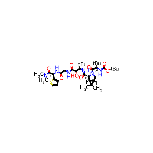 CCCCC(NC(=O)[C@@H]1[C@@H]2[C@H](CN1C(=O)[C@@H](NC(=O)OC(C)(C)C)C(C)(C)C)C2(C)C)C(O)C(=O)NCC(=O)N[C@H](C(=O)N(C)C)c1cccs1